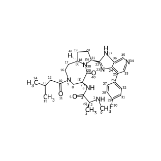 CN[C@@H](C)C(=O)N[C@H]1CN(C(=O)CC(C)C)CC[C@H]2CC[C@@H](c3nc4c(-c5ccc(F)cc5)cncc4[nH]3)N2C1=O